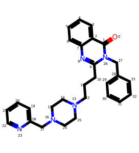 O=c1c2ccccc2nc(CCCN2CCN(Cc3ccccn3)CC2)n1Cc1ccccc1